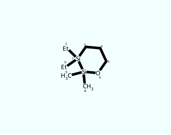 CC[Si]1(CC)CCCO[Si]1(C)C